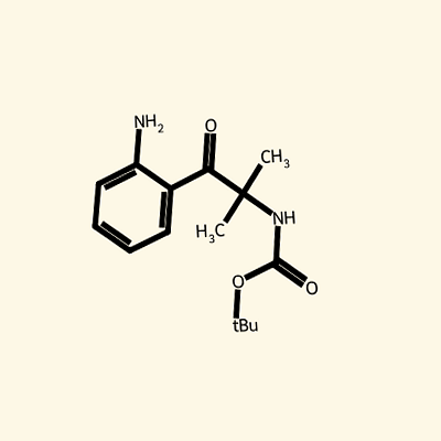 CC(C)(C)OC(=O)NC(C)(C)C(=O)c1ccccc1N